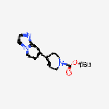 CC(C)(C)OC(=O)N1CC=C(c2ccn3ccnc3c2)CC1